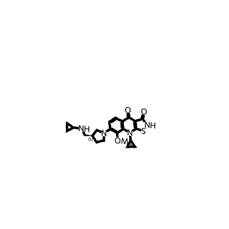 COc1c(N2CC[C@@H](CNC3CC3)C2)ccc2c(=O)c3c(=O)[nH]sc3n(C3CC3)c12